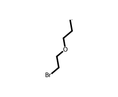 [CH2]CCOCCBr